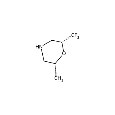 C[C@@H]1CNC[C@H](C(F)(F)F)O1